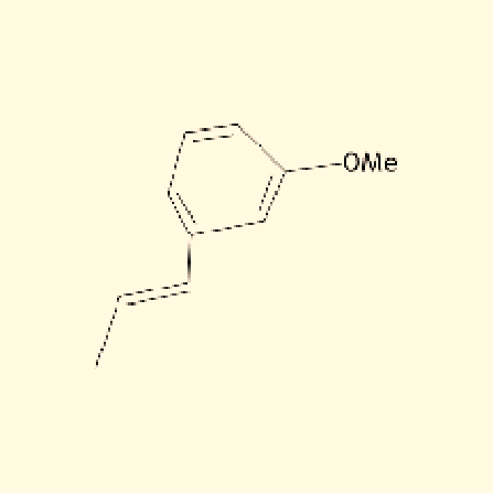 C/C=C/c1cccc(OC)c1